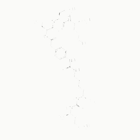 CCSSC[C@H](NC(=O)[C@H](CC(=O)O)NC(=O)[C@H](CC(=O)O)NC(=O)Cc1ccc(NC(=O)NCCCC[C@H](NC(=O)N[C@@H](CCC(=O)O)C(=O)O)C(=O)O)cc1)C(=O)O